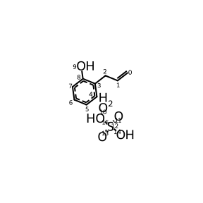 C=CCc1ccccc1O.O.O=S(=O)(O)O